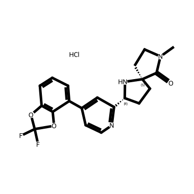 CN1CC[C@@]2(CC[C@H](c3cc(-c4cccc5c4OC(F)(F)O5)ccn3)N2)C1=O.Cl